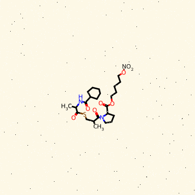 CC(CSC(=O)C(C)NC(=O)C1CCCCC1)C(=O)N1CCCC1C(=O)OCCCCCO[N+](=O)[O-]